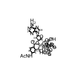 CSSC(C)c1cc(NC(C)=O)ccc1C(=O)OC1C[C@H](n2cnc3c(N)ncnc32)O[C@@H]1COP(=O)(O)OP(=O)(O)OP(=O)(O)O